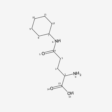 NC(CCC(=O)NC1CCCCC1)C(=O)O